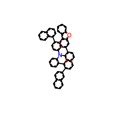 c1ccc(-c2ccccc2N(c2ccc(-c3cccc4ccccc34)cc2)c2ccccc2-c2ccc3c(c2)oc2ccccc23)c(-c2ccc3ccccc3c2)c1